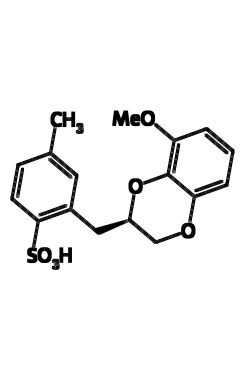 COc1cccc2c1O[C@H](Cc1cc(C)ccc1S(=O)(=O)O)CO2